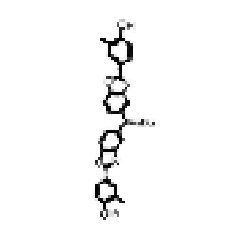 CCCCC(c1ccc2oc(-c3ccc(O)c(C)c3)nc2c1)c1ccc2oc(-c3ccc(O)c(C)c3)nc2c1